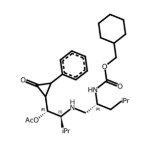 CC(=O)O[C@H](C1C(=O)C1c1ccccc1)[C@@H](NC[C@@H](CC(C)C)NC(=O)OCC1CCCCC1)C(C)C